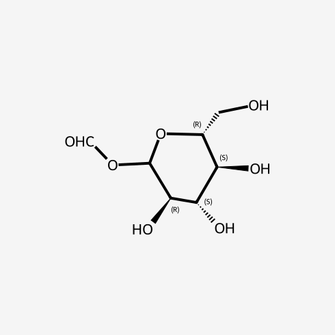 O=COC1O[C@H](CO)[C@@H](O)[C@H](O)[C@H]1O